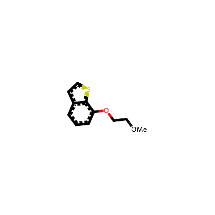 COCCOc1cccc2ccsc12